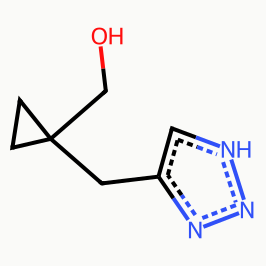 OCC1(Cc2c[nH]nn2)CC1